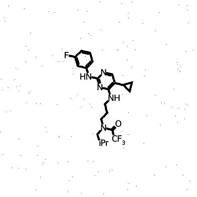 CC(C)CN(CCCNc1nc(Nc2cccc(F)c2)ncc1C1CC1)C(=O)C(F)(F)F